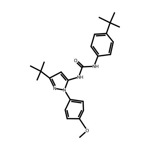 COc1ccc(-n2nc(C(C)(C)C)cc2NC(=O)Nc2ccc(C(C)(C)C)cc2)cc1